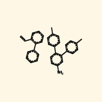 C=Cc1ccccc1-c1ccccc1.Cc1ccc(-c2ccc(N)cc2-c2ccc(C)cc2)cc1